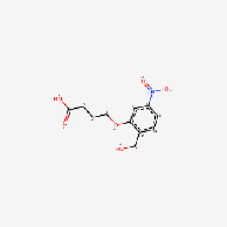 O=C(O)CCCOc1cc([N+](=O)[O-])ccc1CO